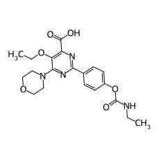 CCNC(=O)Oc1ccc(-c2nc(C(=O)O)c(OCC)c(N3CCOCC3)n2)cc1